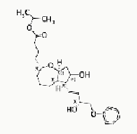 CC(C)OC(=O)CCC[C@H]1CCC[C@@H]2[C@@H](C=C[C@@H](O)COc3ccccc3)[C@H](O)C[C@@H]2O1